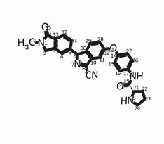 CN1Cc2cc(C3N=C(C#N)c4cc(Oc5ccc(NC(=O)[C@@H]6CCCN6)cc5)ccc43)ccc2C1=O